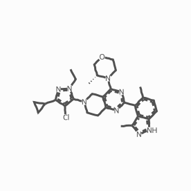 CCn1nc(C2CC2)c(Cl)c1N1CCc2nc(-c3c(C)ccc4[nH]nc(C)c34)nc(N3CCOC[C@H]3C)c2C1